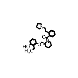 C=Cc1c(O)cccc1OC[C@@H]1CCCCN1C(=O)c1ccccc1CCN1CCCC1